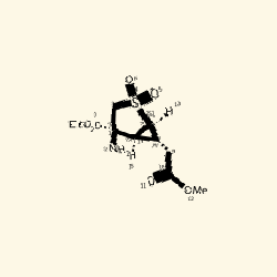 CCOC(=O)[C@]1(N)CS(=O)(=O)[C@H]2[C@H](CC(=O)OC)[C@H]21